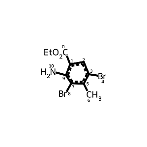 CCOC(=O)c1cc(Br)c(C)c(Br)c1N